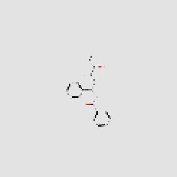 CC[C@@H](O)[C@H](O)CC(NC(=O)c1ccccc1)c1ccccc1